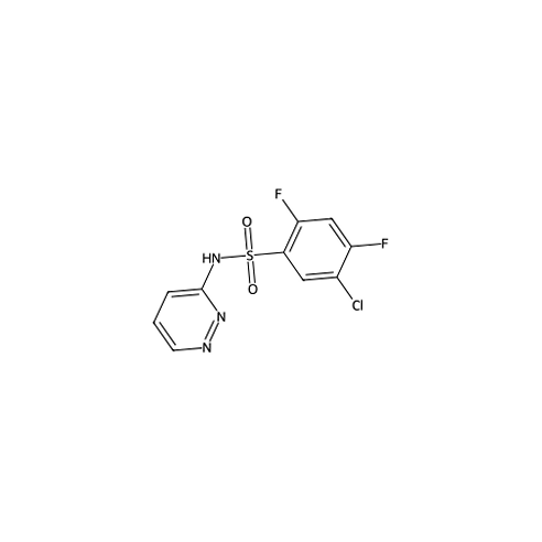 O=S(=O)(Nc1cccnn1)c1cc(Cl)c(F)cc1F